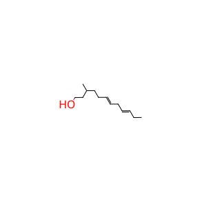 CCC=CCC=CCCC(C)CCO